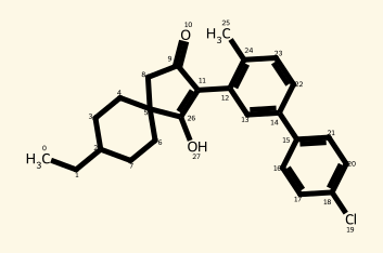 CCC1CCC2(CC1)CC(=O)C(c1cc(-c3ccc(Cl)cc3)ccc1C)=C2O